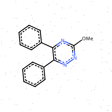 COc1nnc(-c2ccccc2)c(-c2ccccc2)n1